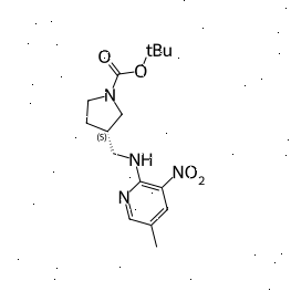 Cc1cnc(NC[C@@H]2CCN(C(=O)OC(C)(C)C)C2)c([N+](=O)[O-])c1